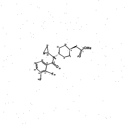 COC(=O)C[C@H]1CC[C@H](N(C(=O)c2cccc(F)c2F)C2CC2)CC1